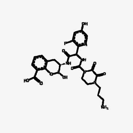 NCCCN1CCN(C(=O)NC(C(=O)N[C@H]2Cc3cccc(C(=O)O)c3OB2O)c2ncc(O)cc2F)C(=O)C1=O